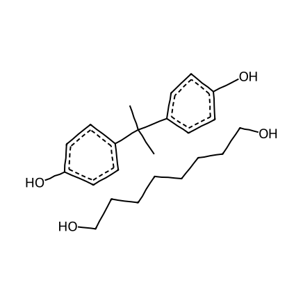 CC(C)(c1ccc(O)cc1)c1ccc(O)cc1.OCCCCCCCCO